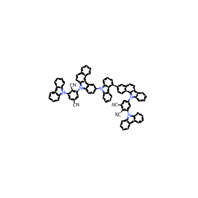 N#Cc1cc(-n2c3ccccc3c3ccccc32)c(C#N)c(-n2c3ccc(-n4c5ccccc5c5c(-c6ccc7c(ccc8c9ccccc9n(-c9cc(C#N)c(C#N)c(-n%10c%11ccccc%11c%11ccccc%11%10)c9)c78)c6)cccc54)cc3c3c4ccccc4ccc32)c1